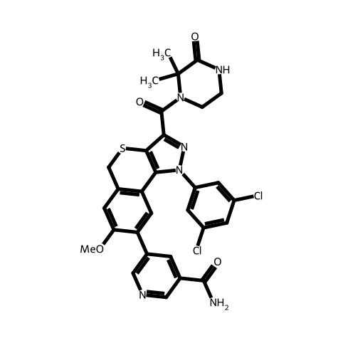 COc1cc2c(cc1-c1cncc(C(N)=O)c1)-c1c(c(C(=O)N3CCNC(=O)C3(C)C)nn1-c1cc(Cl)cc(Cl)c1)SC2